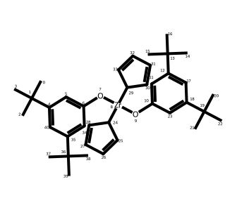 CC(C)(C)c1cc([O][Zr]([O]c2cc(C(C)(C)C)cc(C(C)(C)C)c2)([CH]2C=CC=C2)[CH]2C=CC=C2)cc(C(C)(C)C)c1